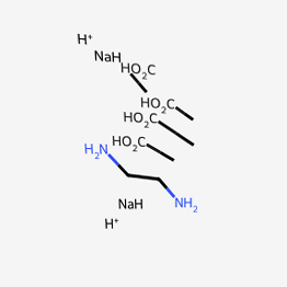 CC(=O)O.CC(=O)O.CC(=O)O.CC(=O)O.NCCN.[H+].[H+].[NaH].[NaH]